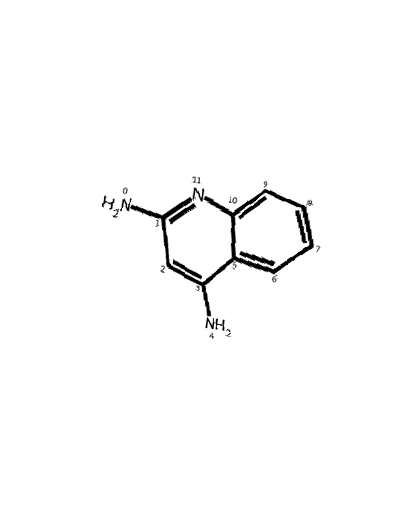 Nc1cc(N)c2ccccc2n1